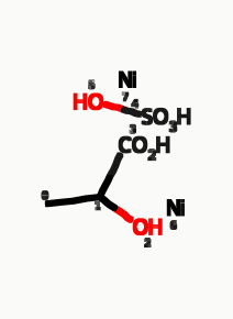 CC(O)C(=O)O.O=S(=O)(O)O.[Ni].[Ni]